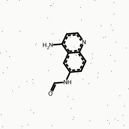 Nc1ccnc2ccc(NC=O)cc12